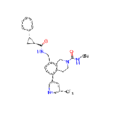 CC(C)(C)NC(=O)N1CCc2c(-c3cncc(C(F)(F)F)c3)ccc(CNC(=O)[C@H]3C[C@@H]3c3ccccc3)c2C1